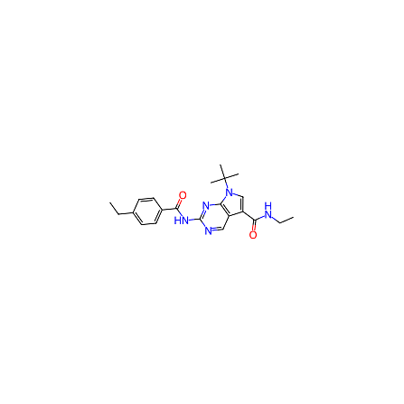 CCNC(=O)c1cn(C(C)(C)C)c2nc(NC(=O)c3ccc(CC)cc3)ncc12